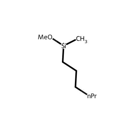 CCCCCC[Si](C)OC